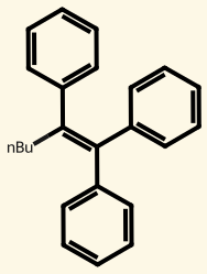 CCCCC(=C(c1ccccc1)c1ccccc1)c1ccccc1